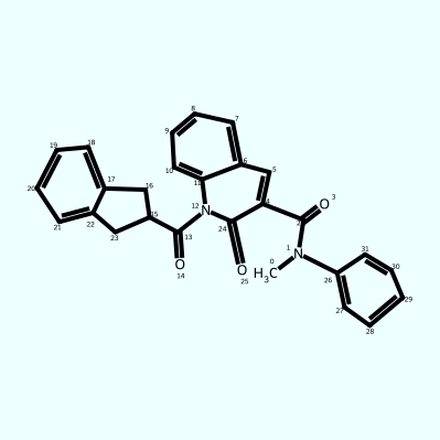 CN(C(=O)c1cc2ccccc2n(C(=O)C2Cc3ccccc3C2)c1=O)c1ccccc1